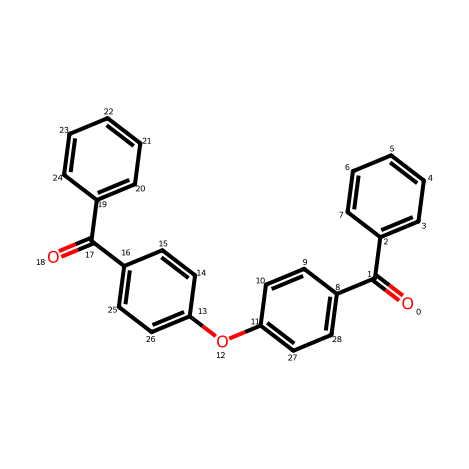 O=C(c1ccccc1)c1ccc(Oc2ccc(C(=O)c3ccccc3)cc2)cc1